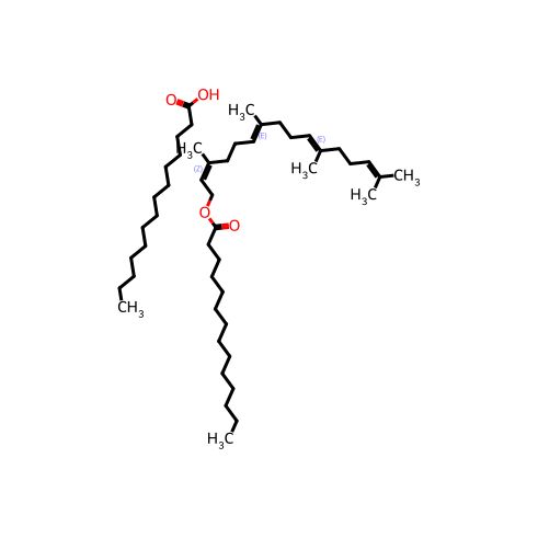 CCCCCCCCCCCCCC(=O)O.CCCCCCCCCCCCCC(=O)OC/C=C(/C)CC/C=C(\C)CC/C=C(\C)CCC=C(C)C